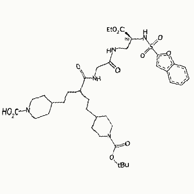 CCOC(=O)[C@H](CNC(=O)CNC(=O)C(CCC1CCN(C(=O)O)CC1)CCC1CCN(C(=O)OC(C)(C)C)CC1)NS(=O)(=O)c1cc2ccccc2o1